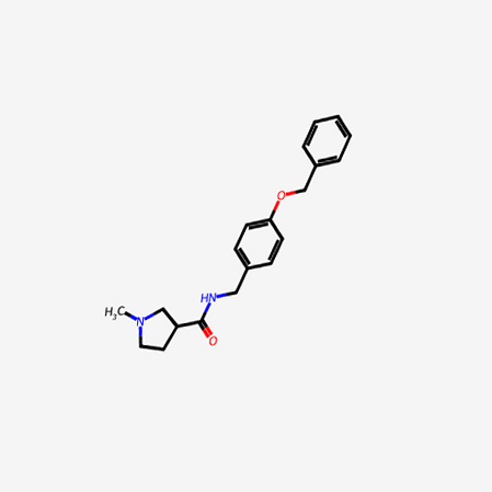 CN1CCC(C(=O)NCc2ccc(OCc3ccccc3)cc2)C1